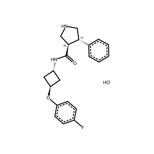 Cl.O=C(N[C@H]1C[C@H](Oc2ccc(F)cc2)C1)[C@H]1CNC[C@@H]1c1ccccc1